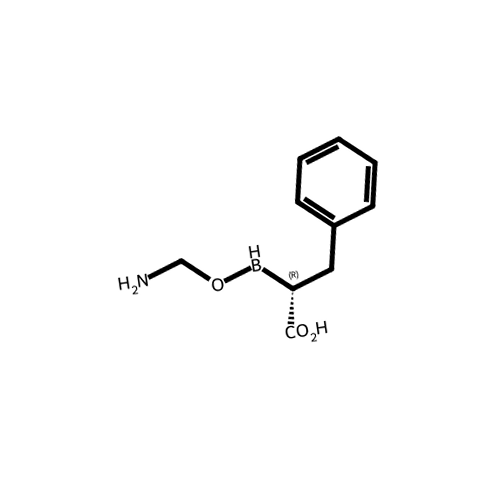 NCOB[C@H](Cc1ccccc1)C(=O)O